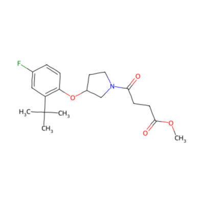 COC(=O)CCC(=O)N1CCC(Oc2ccc(F)cc2C(C)(C)C)C1